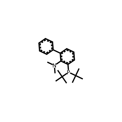 CN(C)c1c(-c2ccccc2)cccc1P(C(C)(C)C)C(C)(C)C